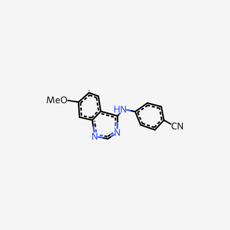 COc1[c]cc2c(Nc3ccc(C#N)cc3)ncnc2c1